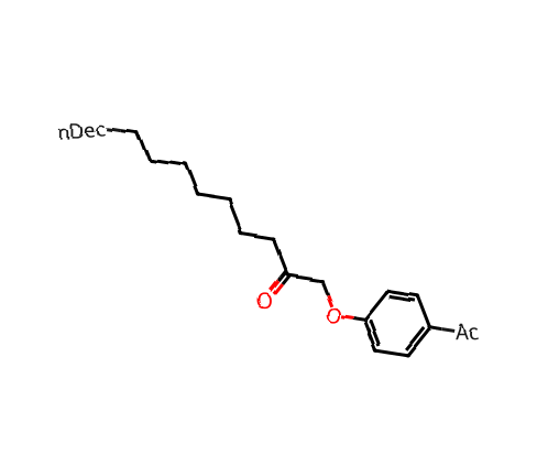 CCCCCCCCCCCCCCCCCC(=O)COc1ccc(C(C)=O)cc1